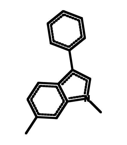 Cc1ccc2c(-c3ccccc3)cn(C)c2c1